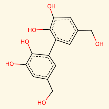 OCc1cc(O)c(O)c(-c2cc(CO)cc(O)c2O)c1